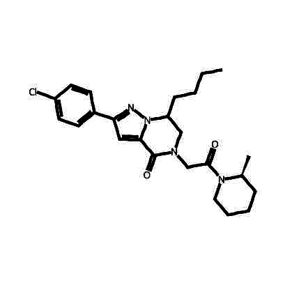 CCCCC1CN(CC(=O)N2CCCC[C@@H]2C)C(=O)c2cc(-c3ccc(Cl)cc3)nn21